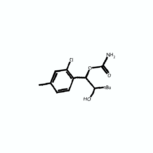 CCCCC(O)C(OC(N)=O)c1ccc(C)cc1Cl